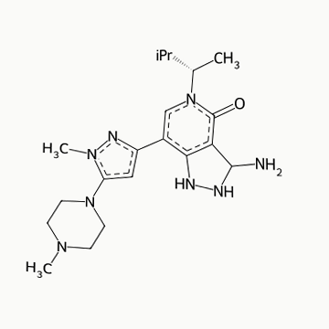 CC(C)[C@H](C)n1cc(-c2cc(N3CCN(C)CC3)n(C)n2)c2c(c1=O)C(N)NN2